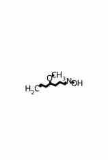 C=CCC(CCC=NO)OC